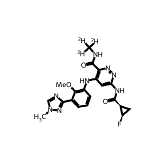 [2H]C([2H])([2H])NC(=O)c1nnc(NC(=O)[C@H]2C[C@H]2F)cc1Nc1cccc(-c2ncn(C)n2)c1OC